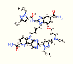 CCn1nc(C)cc1C(=O)Nc1nc2cc(C(N)=O)cc(OCCCNC)c2n1C/C=C/Cn1c2ccc(C(N)=O)nc2c2cnc(-c3cc(C)nn3CC)nc21